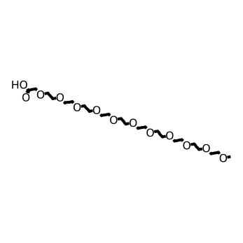 COCCOCCOCCOCCOCCOCCOCCOCCOCCOCCOCC(=O)O